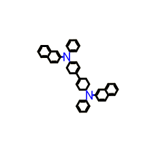 C1=C(C2=CCC(N(c3ccccc3)c3ccc4ccccc4c3)CC2)CCC(N(c2ccccc2)c2ccc3ccccc3c2)=C1